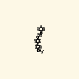 [CH2]c1ccc(-c2ccc(OCCOC3CCCCC3)cc2)cc1